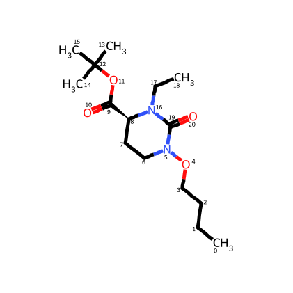 CCCCON1CC[C@@H](C(=O)OC(C)(C)C)N(CC)C1=O